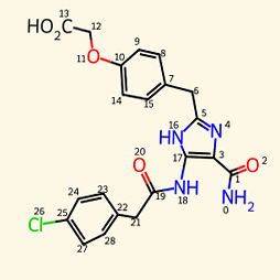 NC(=O)c1nc(Cc2ccc(OCC(=O)O)cc2)[nH]c1NC(=O)Cc1ccc(Cl)cc1